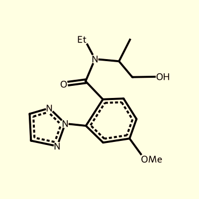 CCN(C(=O)c1ccc(OC)cc1-n1nccn1)C(C)CO